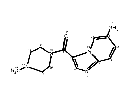 Bc1ccc2ncc(C(=O)N3CCN(C)CC3)n2c1